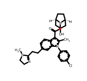 Cc1c(C(=O)CN2[C@@H]3CC[C@H]2CC(O)C3)c2ccc(CCC3=NCCN3C)cc2n1-c1ccc(Cl)cc1